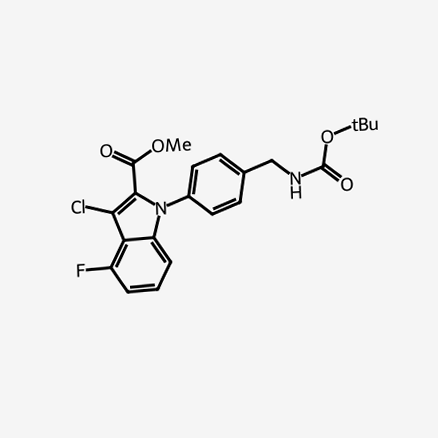 COC(=O)c1c(Cl)c2c(F)cccc2n1-c1ccc(CNC(=O)OC(C)(C)C)cc1